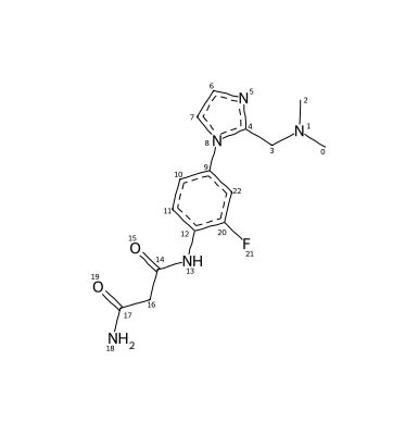 CN(C)Cc1nccn1-c1ccc(NC(=O)CC(N)=O)c(F)c1